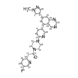 Cn1cc(-c2cc(-c3ccc(N4CCN(C(=O)Cc5ccc(F)cn5)CC4)nc3)c3cncnc3c2)cn1